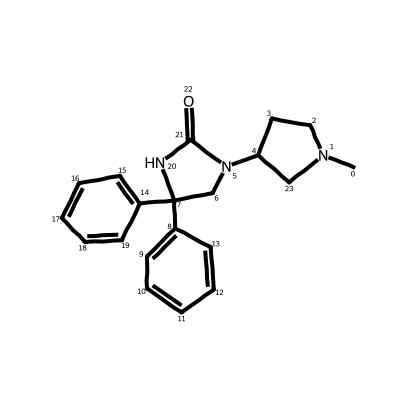 CN1CCC(N2CC(c3ccccc3)(c3ccccc3)NC2=O)C1